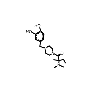 CCC(C)(C(=O)N1CCN(Cc2ccc(O)c(O)c2)CC1)N(C)C